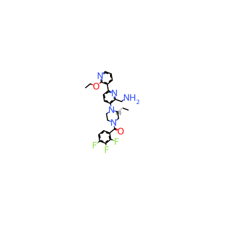 CCOc1ncccc1-c1ccc(N2CCN(C(=O)c3ccc(F)c(F)c3F)C[C@H]2CC)c(CN)n1